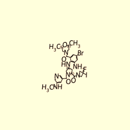 CNc1cncc(C(=O)N2C[C@H](Nc3c(N)cc(Br)cc3C(=O)N3C[C@@H](C)O[C@@H](C)C3)C[C@H]2C(=O)N2CC(F)(I)C2)c1